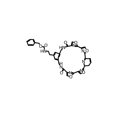 O=C(NCCc1cc2cc(c1)CNC(=O)c1coc(n1)-c1coc(n1)C1CC=CC(=N1)c1nc(co1)-c1nc(co1)C(=O)NC2)OCc1ccccc1